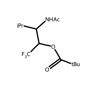 CC(=O)NC(C(C)C)C(OC(=O)C(C)(C)C)C(F)(F)F